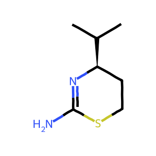 CC(C)[C@H]1CCSC(N)=N1